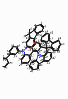 CC1(C)c2ccccc2-c2ccc(N(c3cccc(-c4ccccc4)c3)c3ccccc3-c3cccc4c3-n3c5ccccc5c5cccc(c53)C43c4ccccc4-c4ccccc43)cc21